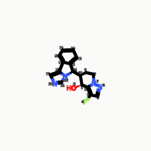 O[C@H]1c2c(F)cnn2CC[C@@H]1[C@@H]1c2ccccc2-c2cncn21